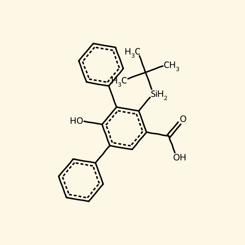 CC(C)(C)[SiH2]c1c(C(=O)O)cc(-c2ccccc2)c(O)c1-c1ccccc1